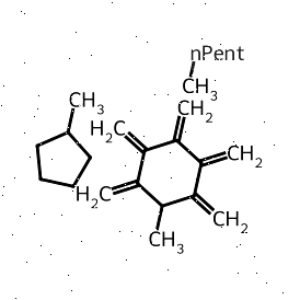 C=C1C(=C)C(=C)C(C)C(=C)C1=C.CC1CCCC1.CCCCCC